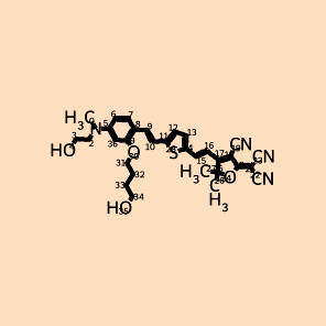 CN(CCO)c1ccc(/C=C/c2ccc(/C=C/C3=C(C#N)C(=C(C#N)C#N)OC3(C)C)s2)c(OCCCCO)c1